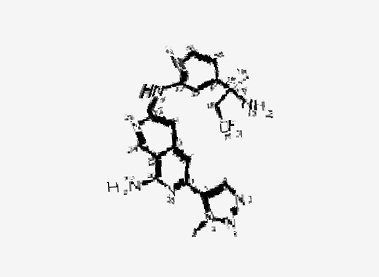 Cn1nncc1-c1cc2cc(Nc3cc([C@@](C)(N)CC(F)(F)F)ccn3)ncc2c(N)n1